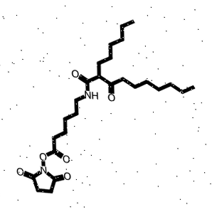 CCCCCCCC(=O)C(CCCCCC)C(=O)NCCCCCC(=O)ON1C(=O)CCC1=O